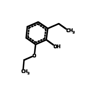 CCOc1cccc(CC)c1O